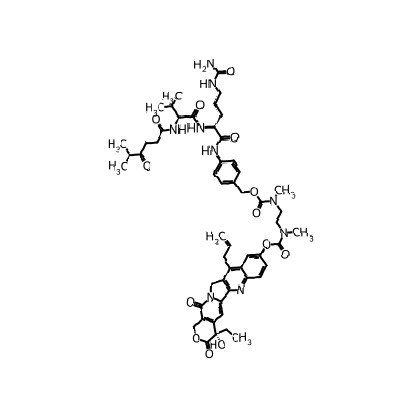 C=CCc1c2c(nc3ccc(OC(=O)N(C)CCN(C)C(=O)OCc4ccc(NC(=O)[C@H](CCCNC(N)=O)NC(=O)[C@@H](NC(=O)CCC(=O)C(C)C)C(C)C)cc4)cc13)-c1cc3c(c(=O)n1C2)COC(=O)[C@]3(O)CC